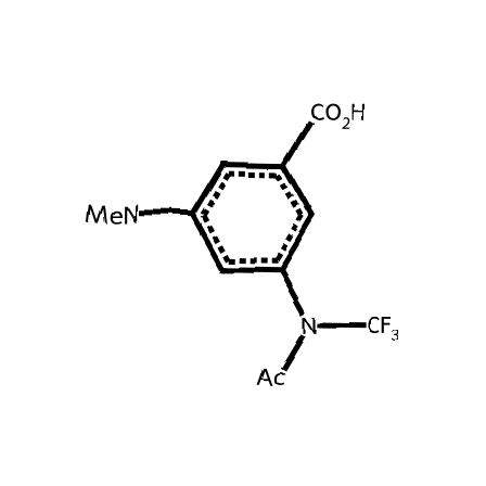 CNc1cc(C(=O)O)cc(N(C(C)=O)C(F)(F)F)c1